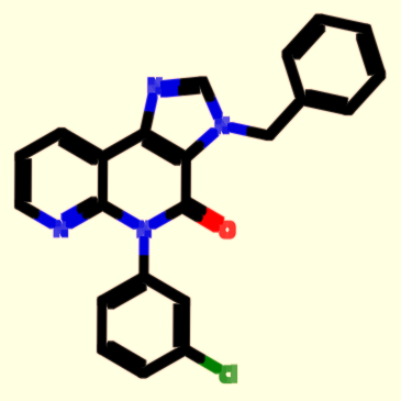 O=c1c2c(ncn2Cc2ccccc2)c2cccnc2n1-c1cccc(Cl)c1